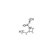 C#CC(=O)N1CCC1CC